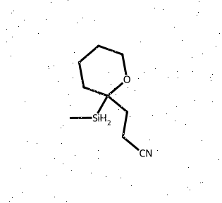 C[SiH2]C1(CCC#N)CCCCO1